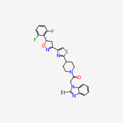 CCc1nc2ccccc2n1CC(=O)N1CCC(c2nc(C3=NOC(c4c(F)cccc4F)C3)cs2)CC1